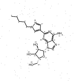 CCCCCn1cc(-c2nc(N)c3ncn([C@@H]4O[C@H](CO)C(O)[C@H]4O)c3n2)cn1